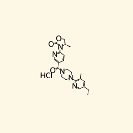 CCc1cnc(N2CCN(C(=O)c3ccc(N4C(=O)OC[C@H]4C)nc3)CC2)c(C)c1.Cl